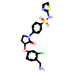 NCc1ccc(OC2CCN(c3ccc(S(=O)(=O)Nc4nccs4)cc3)C2=O)cc1Cl